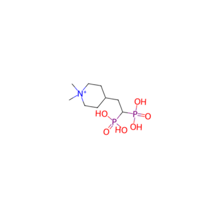 C[N+]1(C)CCC(CC(P(=O)(O)O)P(=O)(O)O)CC1